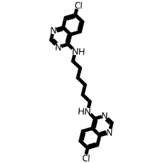 Clc1ccc2c(NCCCCCCNc3ncnc4cc(Cl)ccc34)ncnc2c1